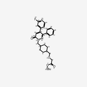 CC(C)(C)OC(=O)COCC1CCC(Cn2nc(-c3ccccc3)c(-c3ccnc(F)c3)cc2=O)CC1